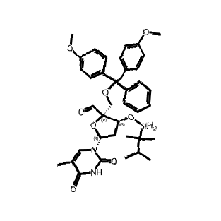 COc1ccc(C(OC[C@@]2(C=O)O[C@@H](n3cc(C)c(=O)[nH]c3=O)C[C@@H]2O[SiH2]C(C)(C)C(C)C)(c2ccccc2)c2ccc(OC)cc2)cc1